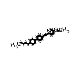 CCCCCC1CCC(c2ccc(C#Cc3ccc(OCC)cn3)cc2)CC1